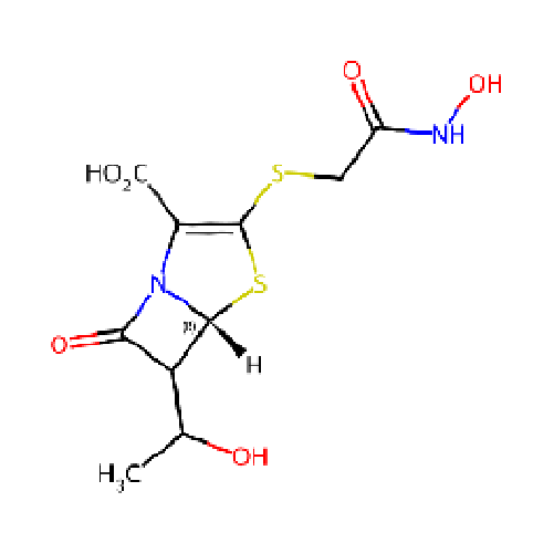 CC(O)C1C(=O)N2C(C(=O)O)=C(SCC(=O)NO)S[C@H]12